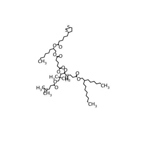 CCCCCCCCC(CCCCCC)COC(=O)CCNC(=O)C(OC(=O)CCCC(=O)OCC(CCCCCC)OC(=O)CCCCC1CCSS1)C(C)(C)COC(=O)CCN(C)C